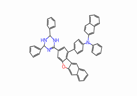 c1ccc(C2N=C(c3cc(-c4ccc(N(c5ccccc5)c5ccc6ccccc6c5)cc4)c4c(c3)oc3cc5ccccc5cc34)NC(c3ccccc3)N2)cc1